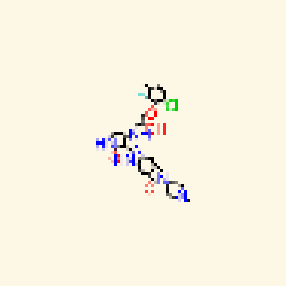 Cc1ccc(Cl)c(OC[C@H](O)CNc2cc[nH]c(=O)c2-c2nc3cc4c(cc3[nH]2)C(=O)N(C2CCN(C)CC2)C4)c1F